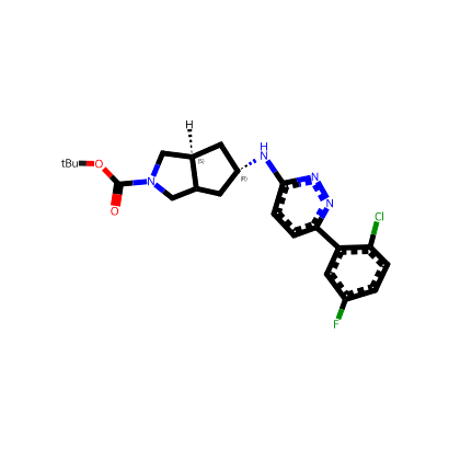 CC(C)(C)OC(=O)N1CC2C[C@@H](Nc3ccc(-c4cc(F)ccc4Cl)nn3)C[C@@H]2C1